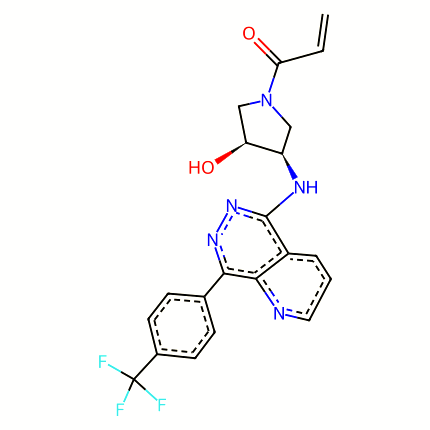 C=CC(=O)N1C[C@H](O)[C@H](Nc2nnc(-c3ccc(C(F)(F)F)cc3)c3ncccc23)C1